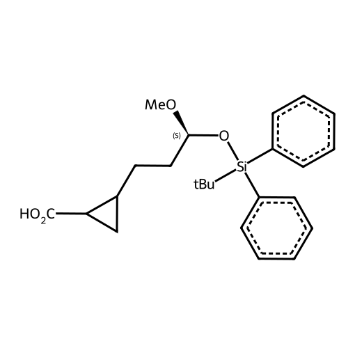 CO[C@H](CCC1CC1C(=O)O)O[Si](c1ccccc1)(c1ccccc1)C(C)(C)C